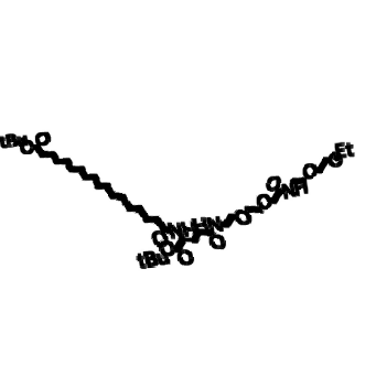 CCOCCOCCNC(=O)COCCOCCNC(=O)CC[C@H](NC(=O)CCCCCCCCCCCCCCCCC(=O)OC(C)(C)C)C(=O)OC(C)(C)C